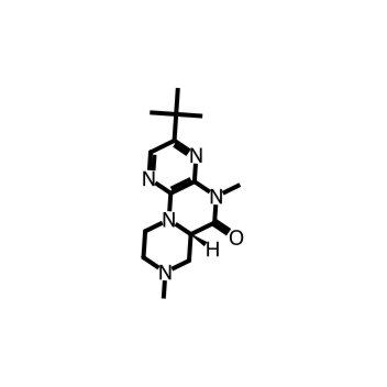 CN1CCN2c3ncc(C(C)(C)C)nc3N(C)C(=O)[C@@H]2C1